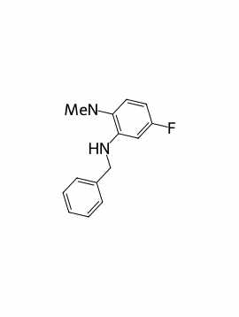 CNc1ccc(F)cc1NCc1ccccc1